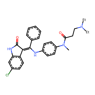 CCN(CC)CCC(=O)N(C)c1ccc(NC(=C2C(=O)Nc3cc(Cl)ccc32)c2ccccc2)cc1